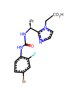 CC(C)[C@H](NC(=O)Nc1ccc(Br)cc1F)c1nccn1CC(=O)O